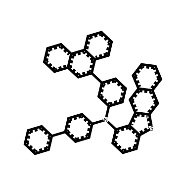 c1ccc(-c2ccc(N(c3cccc(-c4cc5ccccc5c5ccccc45)c3)c3cccc4sc5cc6ccccc6cc5c34)cc2)cc1